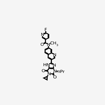 CCCn1c(=O)n(C2CC2)c(=O)c2[nH]c(-c3cnc4cc(N(C)C(=O)c5ccc(F)nc5)ccc4c3)nc21